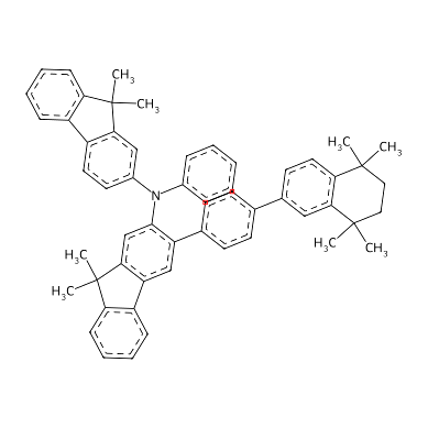 CC1(C)CCC(C)(C)c2cc(-c3ccc(-c4cc5c(cc4N(c4ccccc4)c4ccc6c(c4)C(C)(C)c4ccccc4-6)C(C)(C)c4ccccc4-5)cc3)ccc21